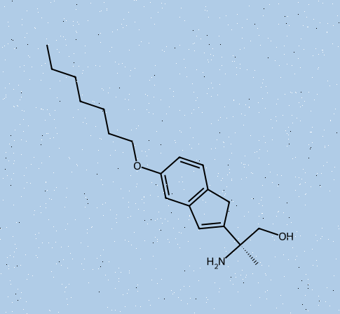 CCCCCCCOc1ccc2c(c1)C=C([C@](C)(N)CO)C2